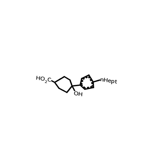 CCCCCCCc1ccc(C2(O)CCC(C(=O)O)CC2)cc1